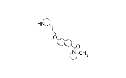 CC1CCCCN1C(=O)c1ccc2cc(OCCCC3CCCNC3)ccc2c1